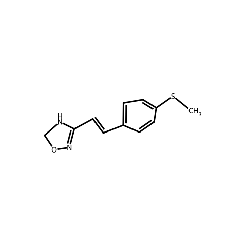 CSc1ccc(/C=C/C2=NOCN2)cc1